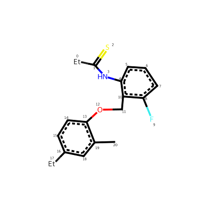 CCC(=S)Nc1cccc(F)c1COc1ccc(CC)cc1C